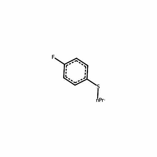 CC[CH]Sc1ccc(F)cc1